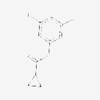 O=C(Oc1[c]c(F)cc(F)c1)C1CC1